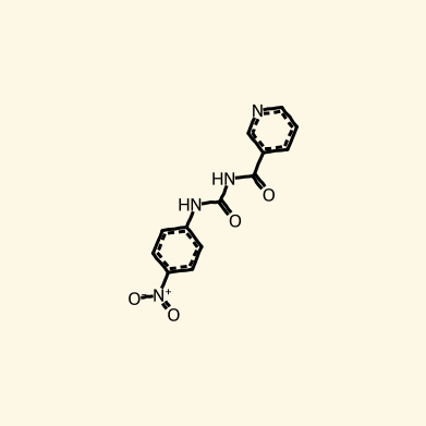 O=C(NC(=O)c1cccnc1)Nc1ccc([N+](=O)[O-])cc1